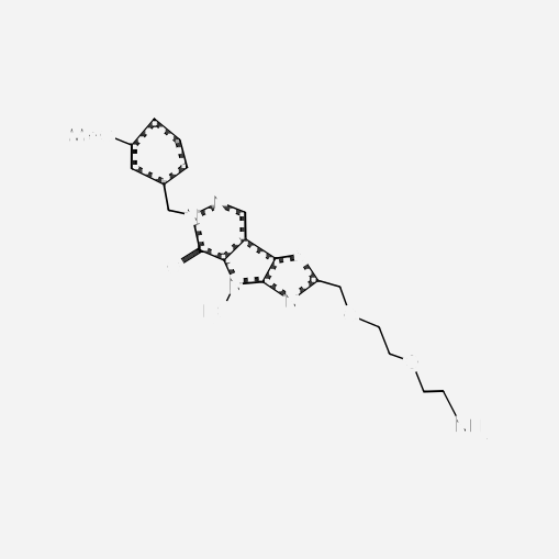 COc1cccc(Cn2ncc3c4sc(COCCOCCN)nc4n(C)c3c2=O)c1